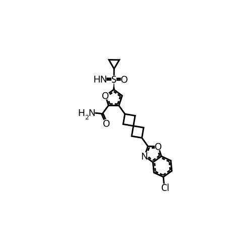 N=[S@](=O)(c1cc(C2CC3(CC(c4nc5cc(Cl)ccc5o4)C3)C2)c(C(N)=O)o1)C1CC1